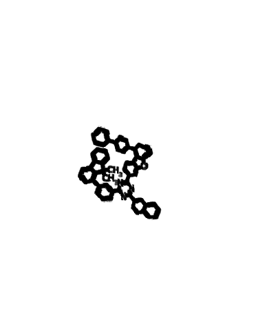 CC1(C)c2ccccc2-c2cccc(-c3cccc(-c4nc(-c5ccc6ccccc6c5)nc(-c5ccc6c(c5)oc5cccc(-c7ccc(-c8ccccc8)cc7)c56)n4)c3)c21